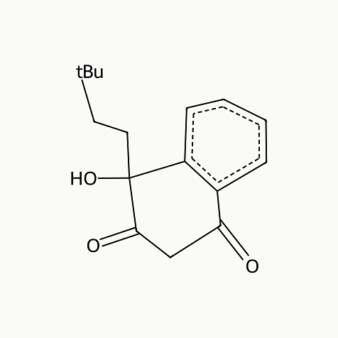 CC(C)(C)CCC1(O)C(=O)CC(=O)c2ccccc21